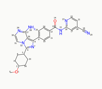 COC1CCC(c2nc(-c3ccc(C(=O)Nc4cc(C#N)ccn4)cc3)c3c(N)nccn23)CC1